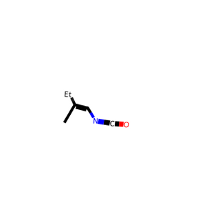 CCC(C)=CN=C=O